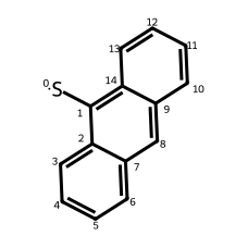 [S]c1c2ccccc2cc2ccccc12